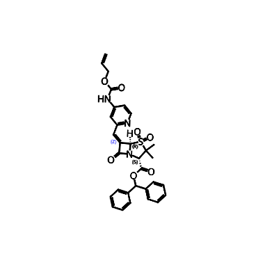 C=CCOC(=O)Nc1ccnc(/C=C2/C(=O)N3[C@@H](C(=O)OC(c4ccccc4)c4ccccc4)C(C)(C)S(=O)(=O)[C@H]23)c1